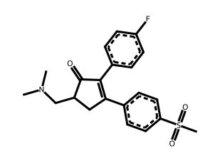 CN(C)CC1CC(c2ccc(S(C)(=O)=O)cc2)=C(c2ccc(F)cc2)C1=O